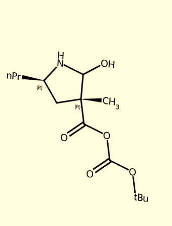 CCC[C@@H]1C[C@@](C)(C(=O)OC(=O)OC(C)(C)C)C(O)N1